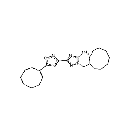 Cc1nc(-c2cc(C3CCCCCCC3)on2)nn1CC1CCCCCCCC1